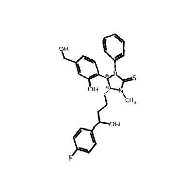 CN1C(=S)N(c2ccccc2)[C@H](c2ccc(CO)cc2O)[C@H]1CCCC(O)c1ccc(F)cc1